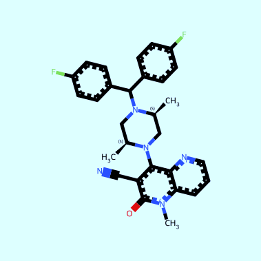 C[C@H]1CN(C(c2ccc(F)cc2)c2ccc(F)cc2)[C@@H](C)CN1c1c(C#N)c(=O)n(C)c2cccnc12